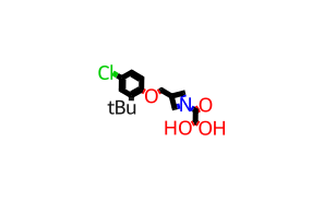 CC(C)(C)c1cc(Cl)ccc1OCC1CN(C(=O)C(O)O)C1